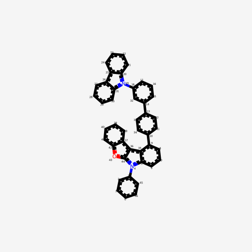 c1ccc(-n2c3cccc(-c4ccc(-c5cccc(-n6c7ccccc7c7ccccc76)c5)cc4)c3c3c4ccccc4oc32)cc1